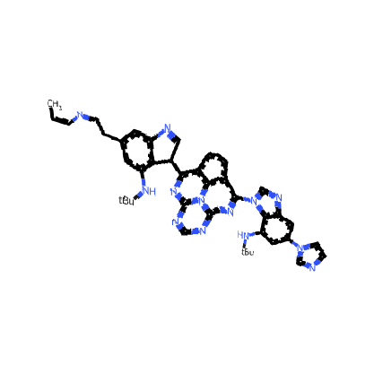 C/C=C\N=C/Cc1cc2c(c(NC(C)(C)C)c1)C(c1nc3ncnc4nc(-n5cnc6cc(-n7ccnc7)cc(NC(C)(C)C)c65)c5ccc1c5n34)C=N2